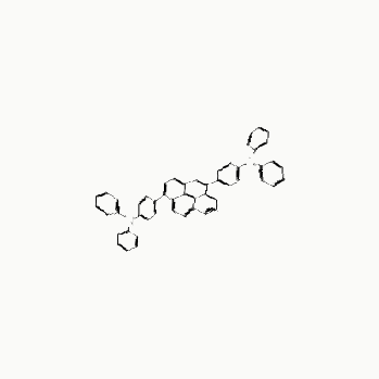 c1ccc(N(c2ccccc2)c2ccc(-c3cc4ccc(-c5ccc(N(c6ccccc6)c6ccccc6)cc5)c5ccc6cccc3c6c45)cc2)cc1